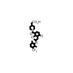 C/C(Cc1c(Cl)ccc(C(=O)N2CCC(CC(=O)O)CC2)c1Cl)=N\c1c(C)ccc(C(F)(F)F)c1C